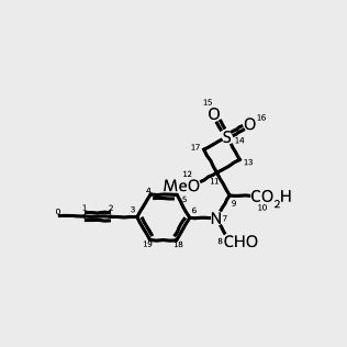 CC#Cc1ccc(N(C=O)C(C(=O)O)C2(OC)CS(=O)(=O)C2)cc1